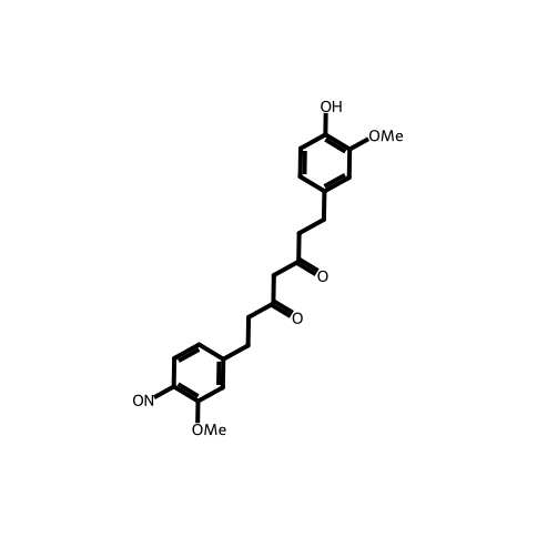 COc1cc(CCC(=O)CC(=O)CCc2ccc(N=O)c(OC)c2)ccc1O